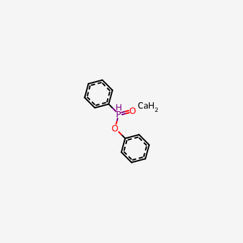 O=[PH](Oc1ccccc1)c1ccccc1.[CaH2]